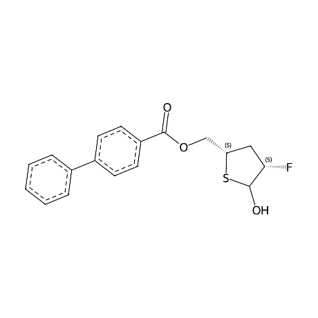 O=C(OC[C@@H]1C[C@H](F)C(O)S1)c1ccc(-c2ccccc2)cc1